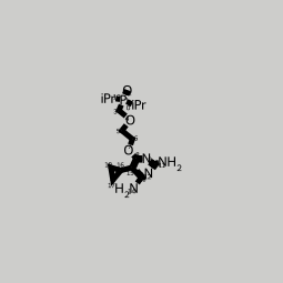 CC(C)P(=O)(COCCOc1nc(N)nc(N)c1C1CC1)C(C)C